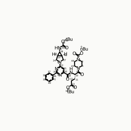 CCCCOC(=O)N1CCN(C(=O)[C@H](CCC(=O)OC(C)(C)C)NC(=O)c2cc(N3C[C@@H]4[C@H](C3)[C@@H]4NC(=O)OC(C)(C)C)nc(-c3ccccc3)n2)CC1